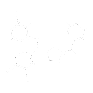 Cc1cccc(C(=O)N2CC[C@H](N(Cc3cccc(F)c3F)c3ccc(C#N)c(Cl)c3)C2)c1